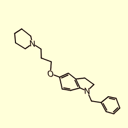 c1ccc(CN2CCc3cc(OCCCN4CCCCC4)ccc32)cc1